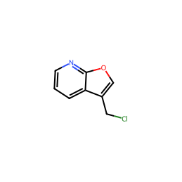 ClCc1coc2ncccc12